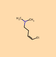 CC/C=C\CCN(C)C